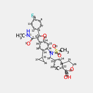 CNC(=O)c1c(-c2ccc(F)cc2)oc2cc(N(Cc3ccc4c(c3)CCOB4O)S(C)(=O)=O)c(C3CC3)cc12